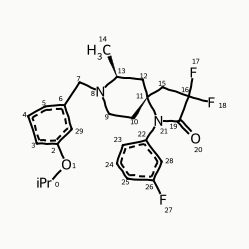 CC(C)Oc1cccc(CN2CC[C@@]3(C[C@@H]2C)CC(F)(F)C(=O)N3c2cccc(F)c2)c1